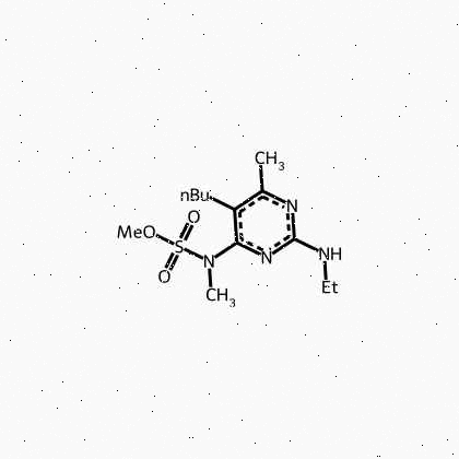 CCCCc1c(C)nc(NCC)nc1N(C)S(=O)(=O)OC